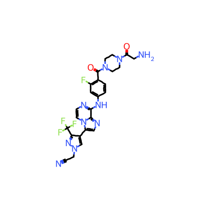 N#CCn1cc(-c2cnc3c(Nc4ccc(C(=O)N5CCN(C(=O)CN)CC5)c(F)c4)nccn23)c(C(F)(F)F)n1